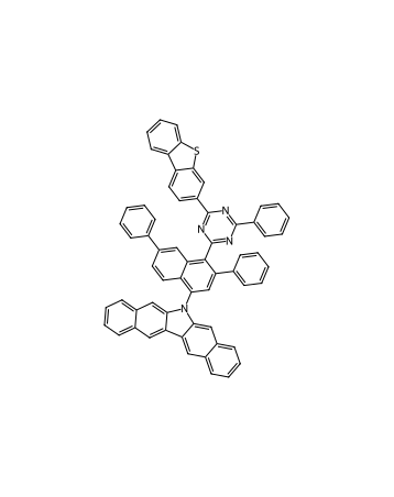 c1ccc(-c2ccc3c(-n4c5cc6ccccc6cc5c5cc6ccccc6cc54)cc(-c4ccccc4)c(-c4nc(-c5ccccc5)nc(-c5ccc6c(c5)sc5ccccc56)n4)c3c2)cc1